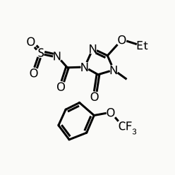 CCOc1nn(C(=O)N=S(=O)=O)c(=O)n1C.FC(F)(F)Oc1ccccc1